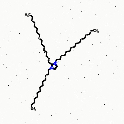 CCCCCCCCCCCCCCCCCc1n(CCCCCCCCCCCCCC)cc[n+]1CCCCCCCCCCCCCCCC